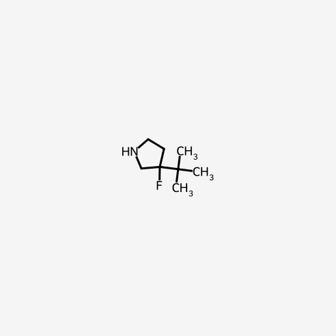 CC(C)(C)C1(F)CCNC1